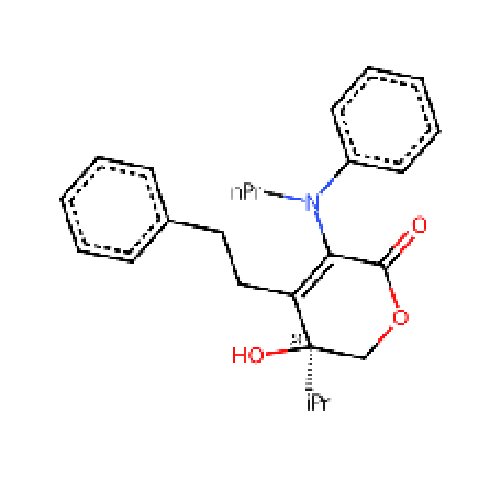 CCCN(C1=C(CCc2ccccc2)[C@@](O)(C(C)C)COC1=O)c1ccccc1